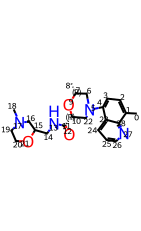 Cc1ccc(N2C[C@@H](C)O[C@@H](C(=O)NCC3CN(C)CCO3)C2)c2cccnc12